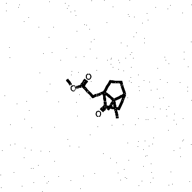 COC(=O)CC12CCC(CC1=O)C2(C)C